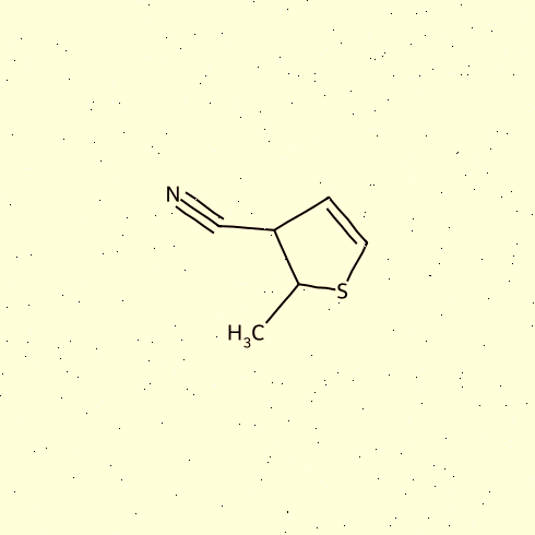 CC1SC=CC1C#N